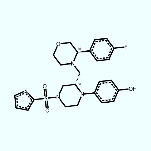 O=S(=O)(c1cccs1)N1CCN(c2ccc(O)cc2)[C@@H](CN2CCOC[C@H]2c2ccc(F)cc2)C1